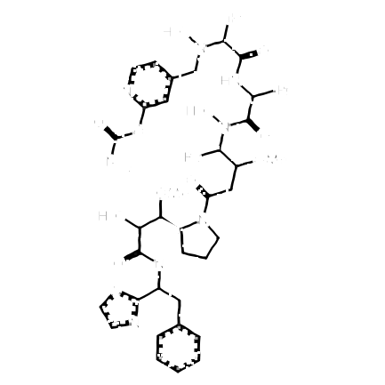 CCC(C)C(C(CC(=O)N1CCC[C@H]1C(OC)C(C)C(=O)NC(Cc1ccccc1)c1nccs1)OC)N(C)C(=O)C(NC(=O)C(C(C)C)N(C)Cc1ccnc(OC(N)=O)c1)C(C)C